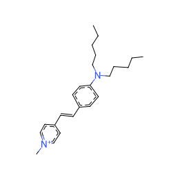 CCCCCN(CCCCC)c1ccc(C=Cc2cc[n+](C)cc2)cc1